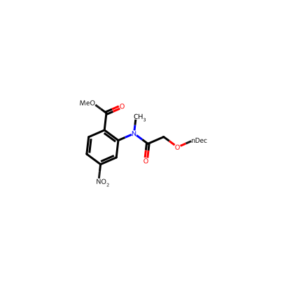 CCCCCCCCCCOCC(=O)N(C)c1cc([N+](=O)[O-])ccc1C(=O)OC